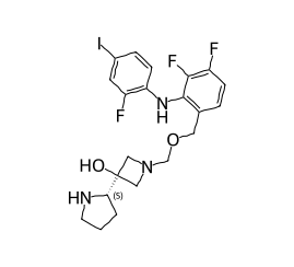 OC1([C@@H]2CCCN2)CN(COCc2ccc(F)c(F)c2Nc2ccc(I)cc2F)C1